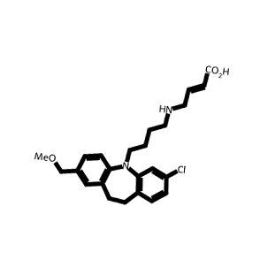 COCc1ccc2c(c1)CCc1ccc(Cl)cc1N2CCCCNCC=CC(=O)O